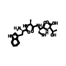 C[C@H](NC(=O)[C@@H](N)Cc1c[nH]c2ccccc12)C(=O)N[C@@H](CS)C(=O)N[C@H](C(=O)O)[C@@H](C)O